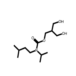 CC(C)CCN(C(=O)OCC(CO)CO)C(C)C